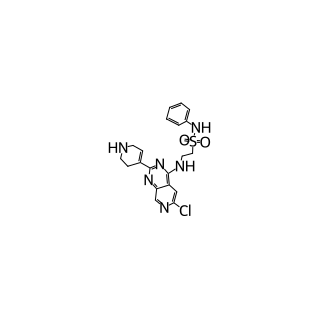 O=S(=O)(CCNc1nc(C2=CCNCC2)nc2cnc(Cl)cc12)Nc1ccccc1